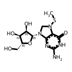 CSN1CN([C@@H]2O[C@H](CO)[C@@H](O)[C@H]2O)c2nc(N)[nH]c(=O)c21